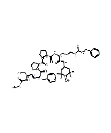 CC(C)C[C@@H](/C=C/[C@@H](Cc1ccccc1)C(=O)N1CCC[C@H]1C(=O)N1CCC[C@H]1C(=O)N[C@@H](CCCNC(=O)OCc1ccccc1)C(=O)NC1CC(C)(C)N(O)C(C)(C)C1)NC(=O)OC(C)(C)C